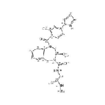 C[C@@H]1CN(C(=O)c2ccc(-n3cccn3)cc2Cl)c2ccccc2CN1C(=O)NCC(=O)NC(C)(C)C